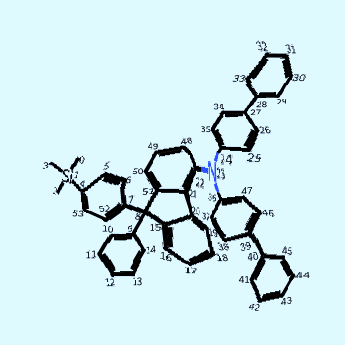 C[Si](C)(C)c1ccc(C2(c3ccccc3)c3ccccc3-c3c(N(c4ccc(-c5ccccc5)cc4)c4ccc(-c5ccccc5)cc4)cccc32)cc1